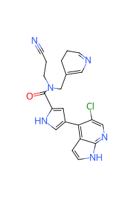 N#CCCN(CC1=CN=CCC1)C(=O)c1cc(-c2c(Cl)cnc3[nH]ccc23)c[nH]1